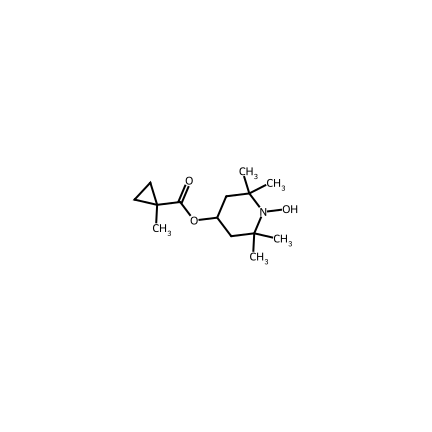 CC1(C(=O)OC2CC(C)(C)N(O)C(C)(C)C2)CC1